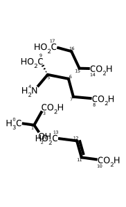 CC(O)C(=O)O.N[C@@H](CCC(=O)O)C(=O)O.O=C(O)C=CC(=O)O.O=C(O)CCC(=O)O